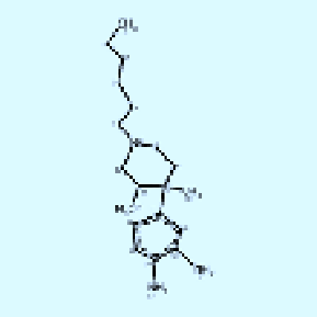 CCCCCCN1CCC(C)(c2ccc(N)c(N)c2)C(C)C1